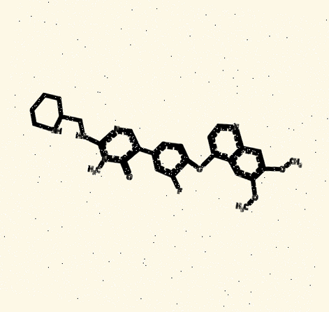 COc1cc2nccc(Oc3ccc(-c4cnc(NCC5CCCCN5)n(C)c4=O)cc3F)c2cc1OC